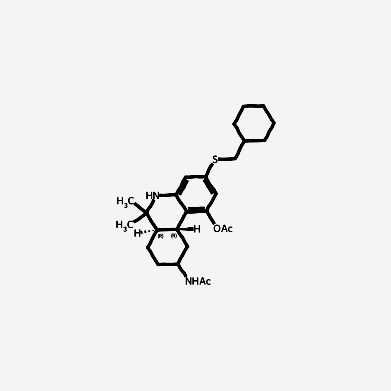 CC(=O)NC1CC[C@@H]2[C@@H](C1)c1c(cc(SCC3CCCCC3)cc1OC(C)=O)NC2(C)C